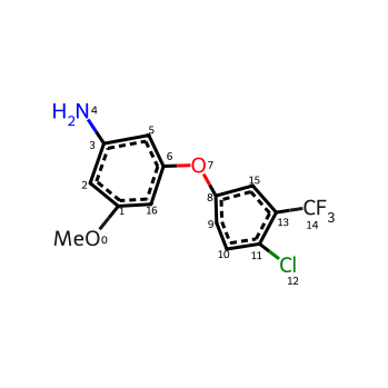 COc1cc(N)cc(Oc2ccc(Cl)c(C(F)(F)F)c2)c1